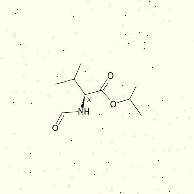 CC(C)OC(=O)[C@@H](NC=O)C(C)C